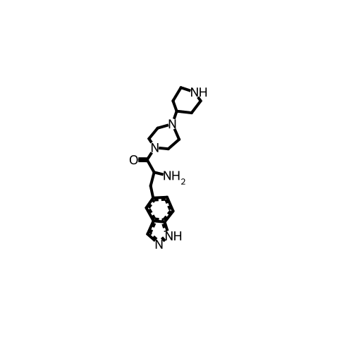 NC(Cc1ccc2[nH]ncc2c1)C(=O)N1CCN(C2CCNCC2)CC1